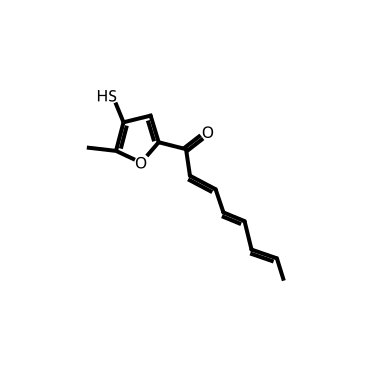 C/C=C/C=C/C=C/C(=O)c1cc(S)c(C)o1